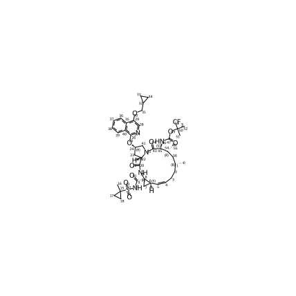 C[C@@H]1CCC=C[C@@H]2C[C@@]2(C(=O)NS(=O)(=O)C2(C)CC2)NC(=O)[C@@H]2C[C@@H](Oc3ncc(OCC4CC4)c4ccccc34)CN2C(=O)[C@@H](NC(=O)OC(C)(C)C(F)(F)F)[C@H](C)C1